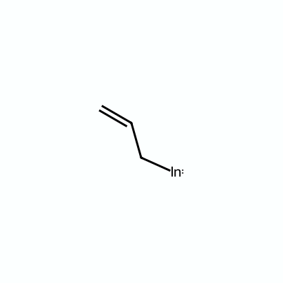 C=C[CH2][In]